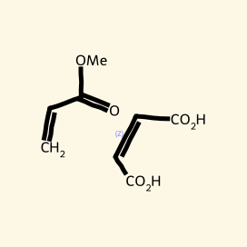 C=CC(=O)OC.O=C(O)/C=C\C(=O)O